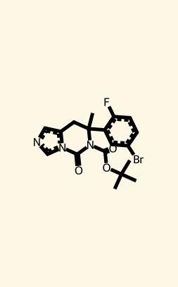 CC(C)(C)OC(=O)N1C(=O)n2cncc2CC1(C)c1cc(Br)ccc1F